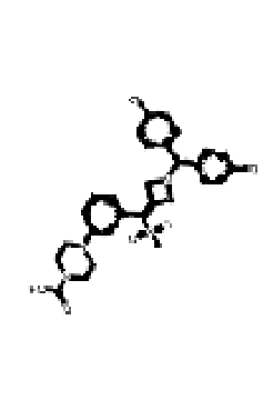 CS(=O)(=O)C(=C1CN(C(c2ccc(Cl)cc2)c2ccc(Cl)cc2)C1)c1cccc(N2CCN(C(=O)O)CC2)c1